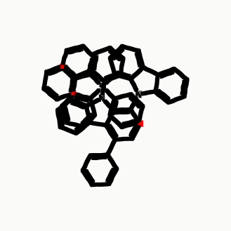 c1ccc(-c2ccccc2-n2c3ccccc3c3c(-c4ccccc4)ccc(-n4c5ccccc5c5cccc([Si](c6ccccc6)(c6ccccc6)c6ccccc6)c54)c32)cc1